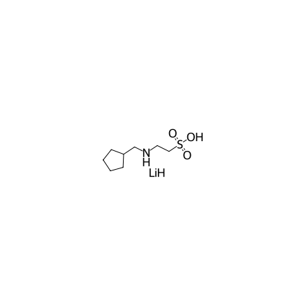 O=S(=O)(O)CCNCC1CCCC1.[LiH]